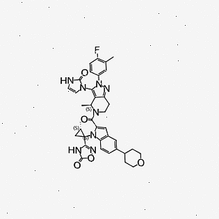 Cc1cc(-n2nc3c(c2-n2cc[nH]c2=O)[C@H](C)N(C(=O)c2cc4cc(C5CCOCC5)ccc4n2[C@@]2(c4noc(=O)[nH]4)C[C@@H]2C)CC3)ccc1F